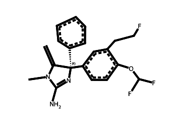 C=C1N(C)C(N)=N[C@]1(c1ccccc1)c1ccc(OC(F)F)c(CCF)c1